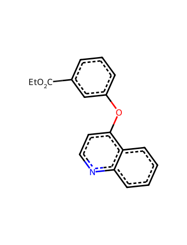 CCOC(=O)c1cccc(Oc2ccnc3ccccc23)c1